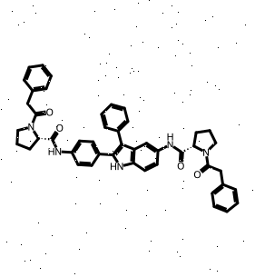 O=C(Nc1ccc(-c2[nH]c3ccc(NC(=O)[C@@H]4CCCN4C(=O)Cc4ccccc4)cc3c2-c2ccccc2)cc1)[C@@H]1CCCN1C(=O)Cc1ccccc1